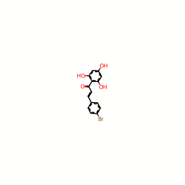 O=C(/C=C/c1ccc(Br)cc1)c1c(O)cc(O)cc1O